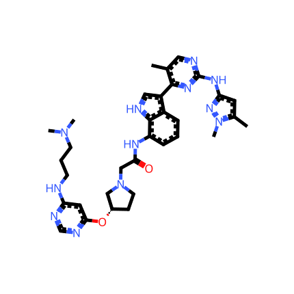 Cc1cnc(Nc2cc(C)n(C)n2)nc1-c1c[nH]c2c(NC(=O)CN3CC[C@H](Oc4cc(NCCCN(C)C)ncn4)C3)cccc12